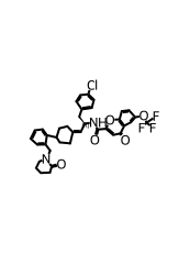 O=C(N[C@@H](C=C1CCC(c2ccccc2CN2CCCCC2=O)CC1)Cc1ccc(Cl)cc1)c1cc(=O)c2cc(OC(F)(F)F)ccc2o1